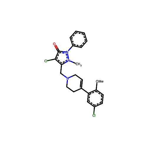 COc1ccc(Cl)cc1C1=CCN(Cc2c(Cl)c(=O)n(-c3ccccc3)n2C)CC1